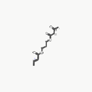 C/C=C/C(=O)OCCCOC(=O)CC(C)=O